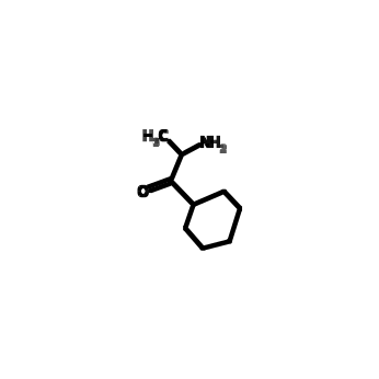 CC(N)C(=O)C1CCCCC1